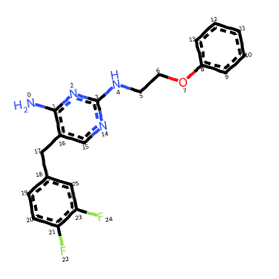 Nc1nc(NCCOc2ccccc2)ncc1Cc1ccc(F)c(F)c1